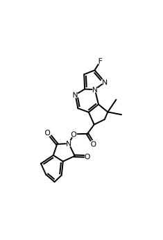 CC1(C)CC(C(=O)ON2C(=O)c3ccccc3C2=O)c2cnc3cc(F)nn3c21